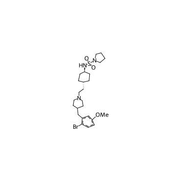 COc1ccc(Br)c(CC2CCN(CC[C@H]3CC[C@H](NS(=O)(=O)N4CCCC4)CC3)CC2)c1